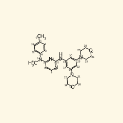 Cc1ccc(N(C)c2ccnc(Nc3cc(N4CCOCC4)cc(N4CCOCC4)c3)n2)cc1